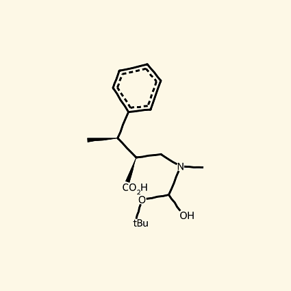 C[C@@H](c1ccccc1)[C@@H](CN(C)C(O)OC(C)(C)C)C(=O)O